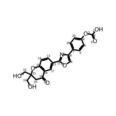 O=C(O)Oc1ccc(-c2coc(-c3ccc4c(c3)C(=O)CC(CO)(CO)O4)n2)cc1